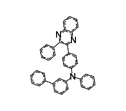 c1ccc(-c2cccc(N(c3ccccc3)c3ccc(-c4nc5ccccc5nc4-c4ccccc4)cc3)c2)cc1